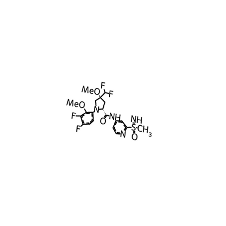 COc1c(N2C[C@@](OC)(C(F)F)C[C@@H]2C(=O)Nc2ccnc([S@](C)(=N)=O)c2)ccc(F)c1F